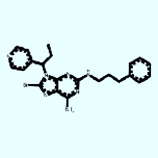 CCC(c1ccncc1)n1c(Br)nc2c(N)nc(NCCCc3ccccc3)nc21